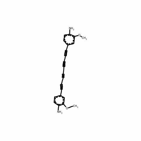 COc1cc(C#CC#CC#CC#Cc2ccc(N)c(OC)c2)ccc1N